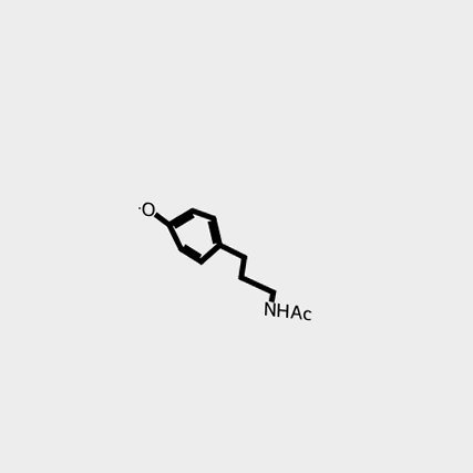 CC(=O)NCCCc1ccc([O])cc1